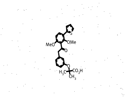 COc1ccc(-c2cccs2)c(OC)c1C(=O)Cc1cccc(OC(C)(C)C(=O)O)c1